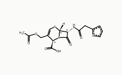 CC(=O)OCC1=CS[C@@H]2[C@H](NC(=O)Cc3cccs3)C(=O)N2[C@H]1C(=O)O